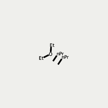 CCCC.CCCC.CCOCC